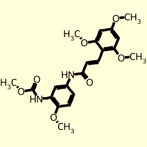 COC(=O)Nc1cc(NC(=O)C=Cc2c(OC)cc(OC)cc2OC)ccc1OC